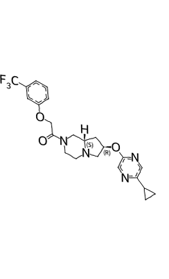 O=C(COc1cccc(C(F)(F)F)c1)N1CCN2C[C@H](Oc3cnc(C4CC4)cn3)C[C@H]2C1